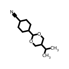 CC(C)C1COC(C2CCC(C#N)CC2)OC1